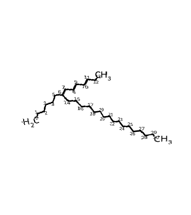 [CH2]CCCCCC(CCCCCCC)CCCCCCCCCCCCCCCCC